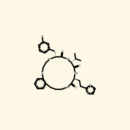 CC(C)[C@H]1NC(=O)[C@@H](Cc2cccc(Cl)c2)NCCOc2ccccc2CCCNC(=O)[C@H](CCc2nccs2)NC1=O